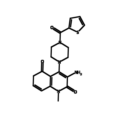 Cn1c2c(c(N3CCN(C(=O)c4cccs4)CC3)c(N)c1=O)C(=O)CC=C2